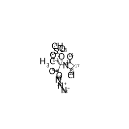 CC(OS(C)(=O)=O)=C(C(=O)ON=[N+]=[N-])N1C(=O)CC1Cl